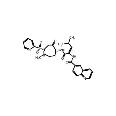 CC(C)/C=C(/NC(=O)c1ccc2ncccc2c1)C(=O)N[C@H]1CC[C@@H](C)N(S(=O)(=O)c2ccccn2)CC1=O